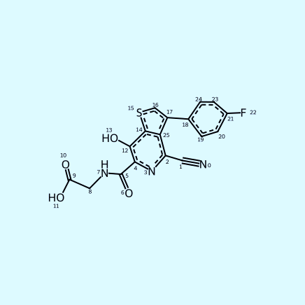 N#Cc1nc(C(=O)NCC(=O)O)c(O)c2scc(-c3ccc(F)cc3)c12